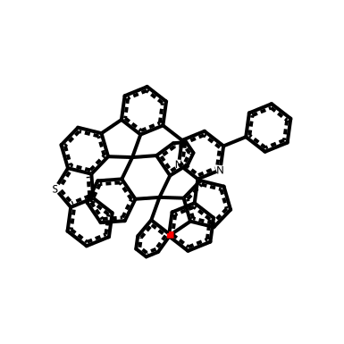 c1ccc(-c2cc(-c3cccc4c3C3(c5ccccc5C5(c6ccccc6-c6ccccc65)c5ccccc53)c3c-4ccc4sc5ccccc5c34)nc(-c3ccccc3)n2)cc1